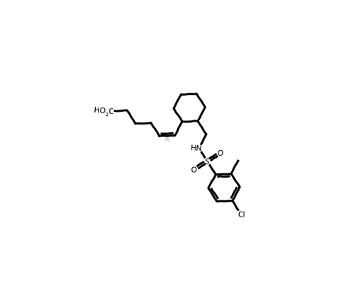 Cc1cc(Cl)ccc1S(=O)(=O)NCC1CCCCC1/C=C\CCCC(=O)O